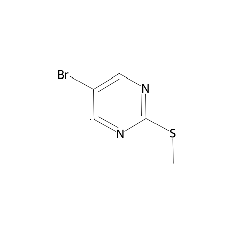 CSc1n[c]c(Br)cn1